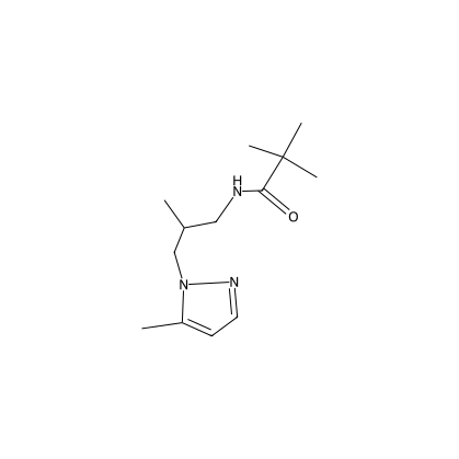 Cc1ccnn1CC(C)CNC(=O)C(C)(C)C